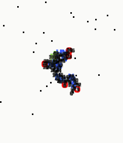 C=CC(=O)N1Cc2c(C(=O)N3CCN(Cc4cc5c(N6CCOCC6)nc(-c6cnc(NC(=O)OC)cc6C(F)(F)F)nn5c4)CC3)cnn2CC1C